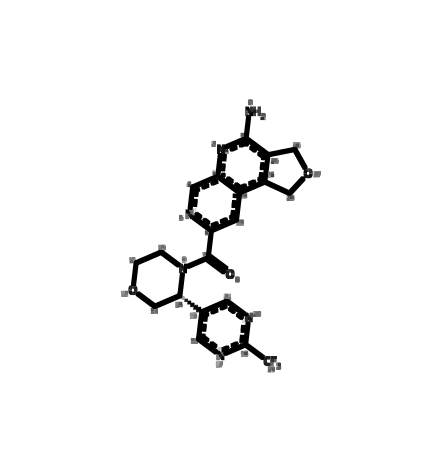 Nc1nc2cnc(C(=O)N3CCOC[C@H]3c3cnc(C(F)(F)F)nc3)cc2c2c1COC2